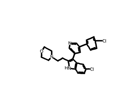 Clc1ccc(-c2cncc(-c3c(CCN4CCOCC4)[nH]c4ccc(Cl)cc34)c2)cc1